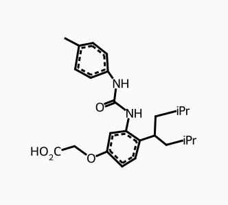 Cc1ccc(NC(=O)Nc2cc(OCC(=O)O)ccc2C(CC(C)C)CC(C)C)cc1